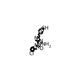 Nc1nc2c(cnn2CCN2CCN(S)CC2)c2nn(Cc3cccc(Cl)c3)c(=O)n12